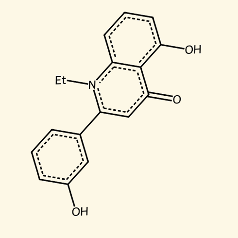 CCn1c(-c2cccc(O)c2)cc(=O)c2c(O)cccc21